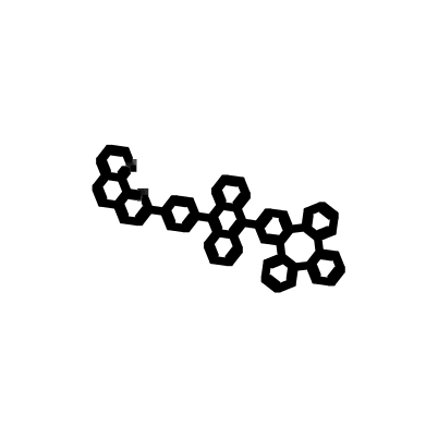 c1ccc2c(c1)-c1ccccc1-c1ccc(-c3c4ccccc4c(-c4ccc(-c5ccc6ccc7cccnc7c6n5)cc4)c4ccccc34)cc1-c1ccccc1-2